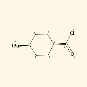 CC(C)(C)[C@H]1CC[C@@H](C(=O)Cl)CC1